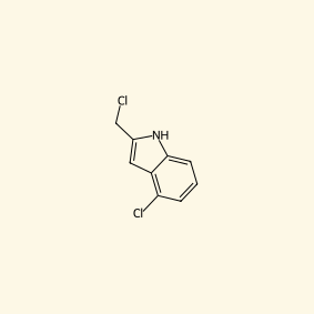 ClCc1cc2c(Cl)cccc2[nH]1